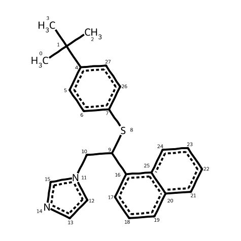 CC(C)(C)c1ccc(SC(Cn2ccnc2)c2cccc3ccccc23)cc1